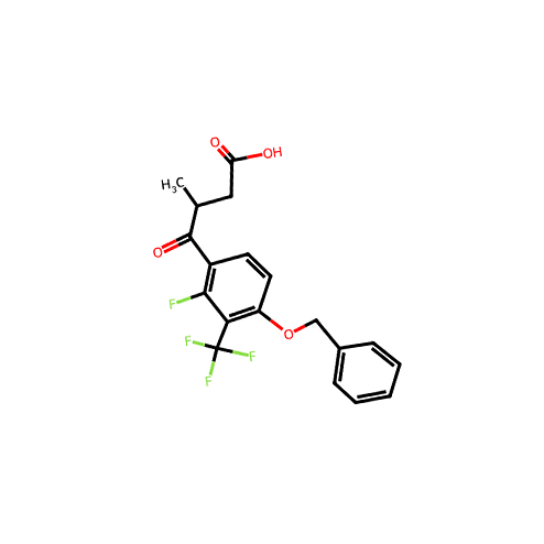 CC(CC(=O)O)C(=O)c1ccc(OCc2ccccc2)c(C(F)(F)F)c1F